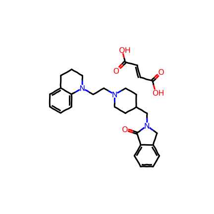 O=C(O)/C=C/C(=O)O.O=C1c2ccccc2CN1CC1CCN(CCN2CCCc3ccccc32)CC1